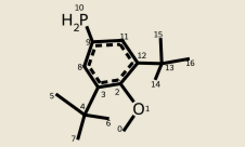 COc1c(C(C)(C)C)cc(P)cc1C(C)(C)C